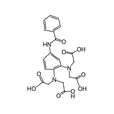 O=C(O)CN(CC(=O)O)c1ccc(NC(=O)c2ccccc2)cc1N(CC(=O)O)CC(=O)O